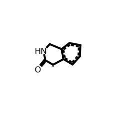 O=C1[C]c2ccccc2CN1